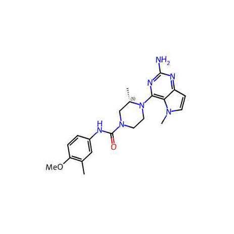 COc1ccc(NC(=O)N2CCN(c3nc(N)nc4ccn(C)c34)[C@@H](C)C2)cc1C